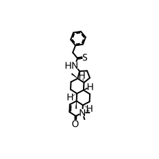 C[C@]12C=CC(=O)[N+](C)(C)[C@@H]1CC[C@@H]1[C@@H]2CC[C@]2(C)C(NC(=S)Cc3ccccc3)CC[C@@H]12